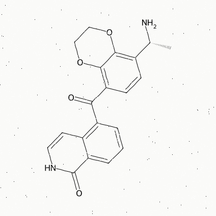 C[C@@H](N)c1ccc(C(=O)c2cccc3c(=O)[nH]ccc23)c2c1OCCO2